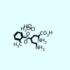 CCl.Cc1ccccc1S(=O)(=O)C(CCN)CC(N)C(=O)O.Cl